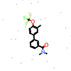 Cc1cc(-c2cccc(C(=O)N(C)C)c2)ccc1OC(F)(F)F